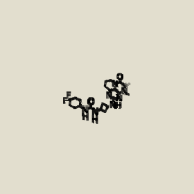 C[C@H]1C(=O)N2CCCc3nc(N[C@H]4C[C@H](NC(=O)NC5CCC(F)(F)CC5)C4)nc(c32)N1C